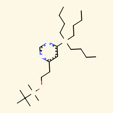 CCC[CH2][Sn]([CH2]CCC)([CH2]CCC)[c]1cc(CCO[Si](C)(C)C(C)(C)C)ncn1